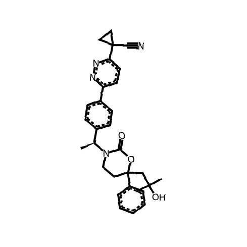 C[C@@H](c1ccc(-c2ccc(C3(C#N)CC3)nn2)cc1)N1CCC(CC(C)(C)O)(c2ccccc2)OC1=O